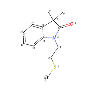 CCSCCN1C(=O)C(C)(C)c2ccccc21